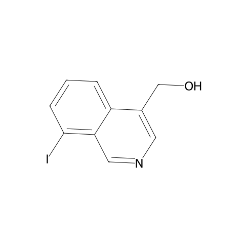 OCc1cncc2c(I)cccc12